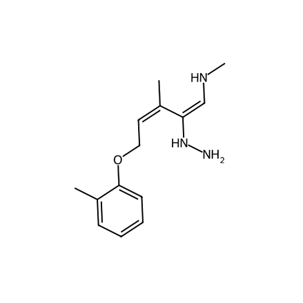 CN/C=C(NN)\C(C)=C/COc1ccccc1C